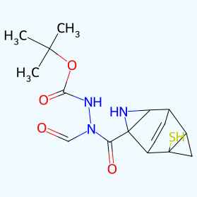 CC(C)(C)OC(=O)NN(C=O)C(=O)C12NC1C1C=CC2C2(S)CC12